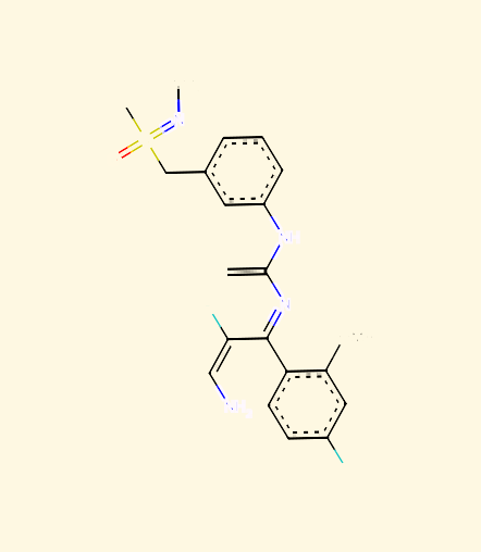 C=C(/N=C(\C(F)=C/N)c1ccc(F)cc1OC)Nc1cccc(CS(C)(=O)=NC(=O)OCC)c1